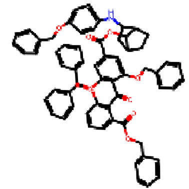 O=C(OC1C2CCC1C(Nc1ccc(OCc3ccccc3)cc1)C2)c1cc(OCc2ccccc2)c(C(=O)c2c(OCc3ccccc3)cccc2C(=O)OCc2ccccc2)c(OCc2ccccc2)c1